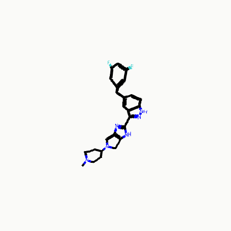 CN1CCC(N2Cc3nc(-c4n[nH]c5ccc(Cc6cc(F)cc(F)c6)cc45)[nH]c3C2)CC1